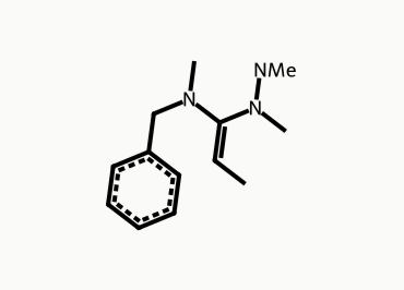 C/C=C(/N(C)Cc1ccccc1)N(C)NC